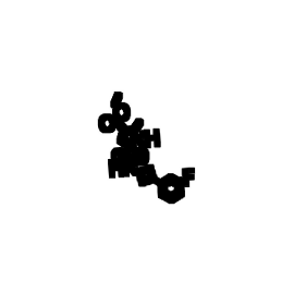 CCOC(=O)c1cc(S(=O)(=O)N[C@H]2C[C@H](c3cccc(F)c3)C2)[nH]c1C